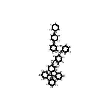 C1=CCC(C2=CC=C(c3cccc(N(c4ccccc4)c4ccc5c(c4)OC4=C(O5)C5=C(CC4)C4(c6ccccc65)c5ccccc5-c5ccccc54)c3)CC2)CC1